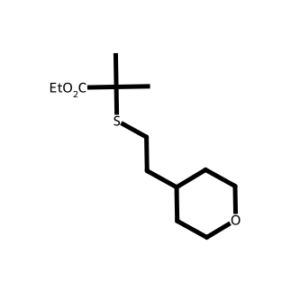 CCOC(=O)C(C)(C)SCCC1CCOCC1